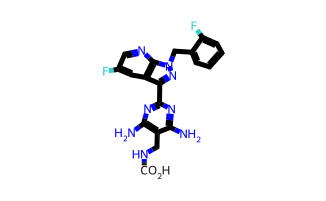 Nc1nc(-c2nn(Cc3ccccc3F)c3ncc(F)cc23)nc(N)c1CNC(=O)O